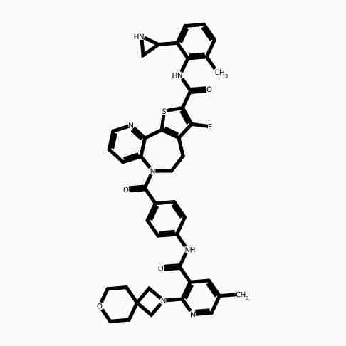 Cc1cnc(N2CC3(CCOCC3)C2)c(C(=O)Nc2ccc(C(=O)N3CCc4c(sc(C(=O)Nc5c(C)cccc5C5CN5)c4F)-c4ncccc43)cc2)c1